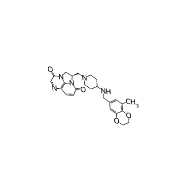 Cc1cc(CNC2CCN(C[C@@H]3Cn4c(=O)cnc5ccc(=O)n3c54)CC2)cc2c1OCCO2